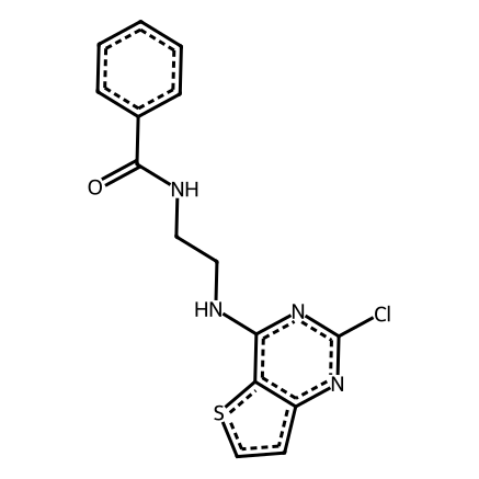 O=C(NCCNc1nc(Cl)nc2ccsc12)c1ccccc1